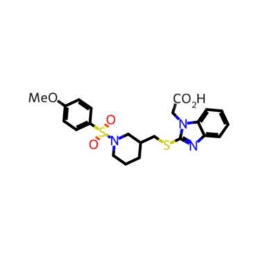 COc1ccc(S(=O)(=O)N2CCCC(CSc3nc4ccccc4n3CC(=O)O)C2)cc1